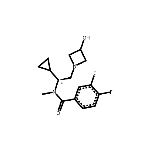 CN(C(=O)c1ccc(F)c(Cl)c1)[C@H](CN1CC(O)C1)C1CC1